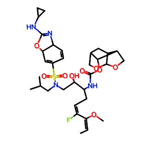 C/C=C(OC)\C(F)=C/CC(NC(=O)OC1C2COC3OCC1C3C2)[C@H](O)CN(CC(C)C)S(=O)(=O)C1=CC2OC(NC3CC3)=NC2C=C1